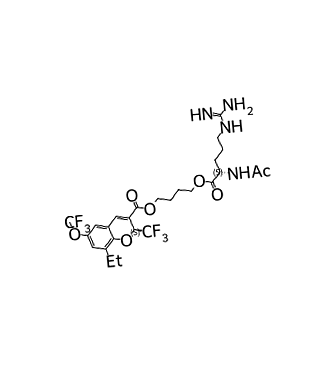 CCc1cc(OC(F)(F)F)cc2c1O[C@H](C(F)(F)F)C(C(=O)OCCCCOC(=O)[C@H](CCCNC(=N)N)NC(C)=O)=C2